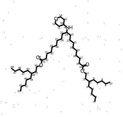 CCCCCC(CCCCC)CCOC(=O)CCCCCCCCC(CCCCCCCCC(=O)OCCC(CCCCC)CCCCC)NC1CCOCC1